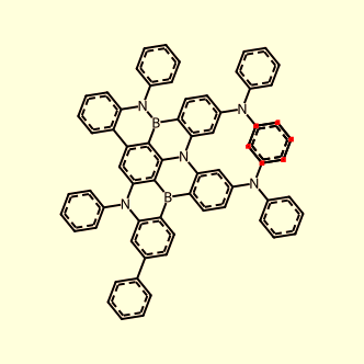 c1ccc(-c2ccc3c(c2)N(c2ccccc2)c2cc4c5c6c2B3c2ccc(N(c3ccccc3)c3ccccc3)cc2N6c2cc(N(c3ccccc3)c3ccccc3)ccc2B5N(c2ccccc2)c2ccccc2-4)cc1